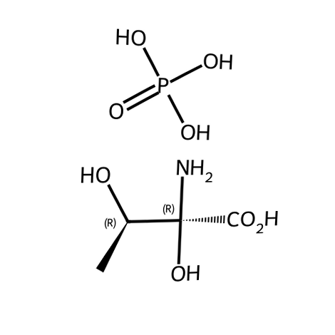 C[C@@H](O)[C@@](N)(O)C(=O)O.O=P(O)(O)O